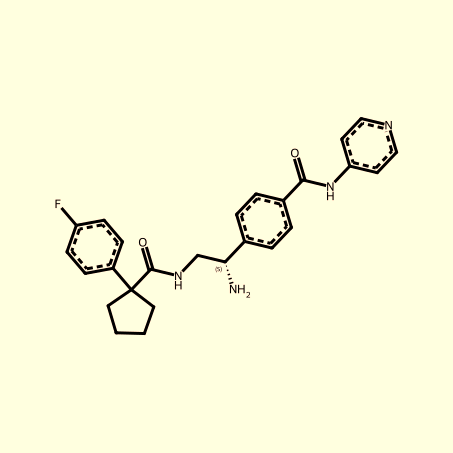 N[C@H](CNC(=O)C1(c2ccc(F)cc2)CCCC1)c1ccc(C(=O)Nc2ccncc2)cc1